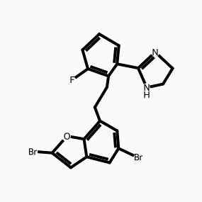 Fc1cccc(C2=NCCN2)c1CCc1cc(Br)cc2cc(Br)oc12